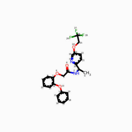 CC(NC(=O)COc1ccccc1Oc1ccccc1)c1ccc(OCC(F)(F)F)cn1